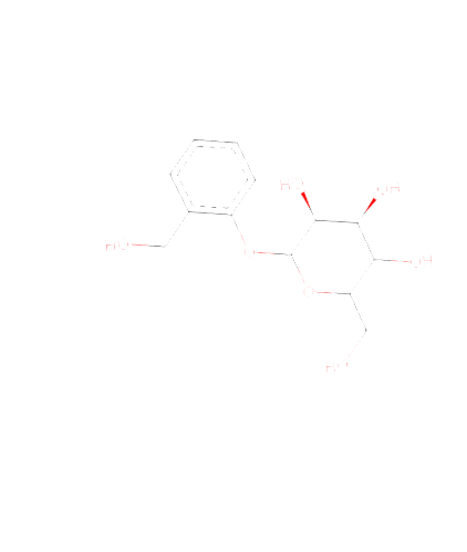 OCc1ccccc1OC1OC(CO)C(O)[C@H](O)[C@@H]1O